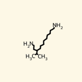 CC(C)C(CCN)CCCCCCCCCN